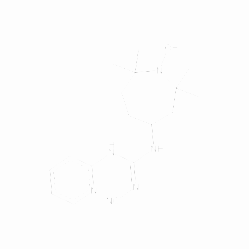 CC1(C)CCC(N/C(=N/C#N)Nc2ccccn2)CC(C)(C)N1O